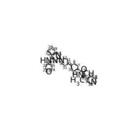 CC(C)(NC(=O)c1ccc(C2CCN(c3nc4c(c(NC5CCOCC5)n3)SCC4)CC2)cc1)c1ccncc1